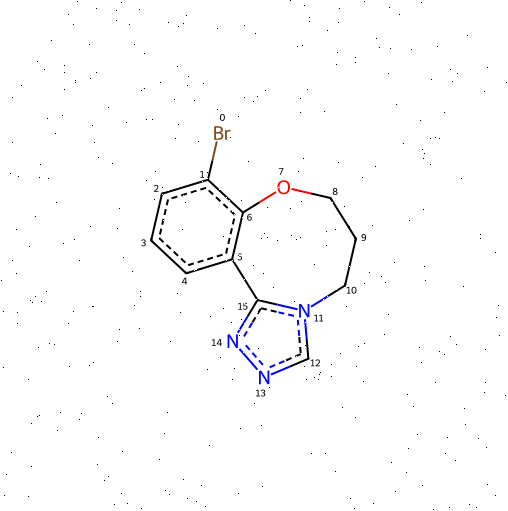 Brc1cccc2c1OCCCn1cnnc1-2